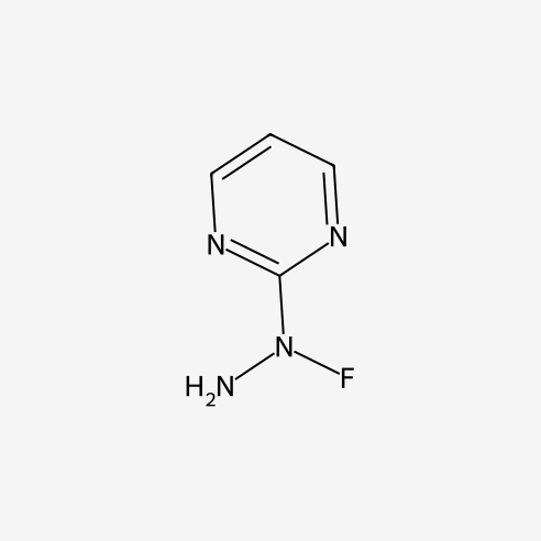 NN(F)c1ncccn1